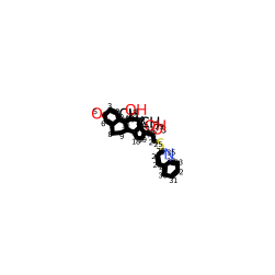 CC12C=CC(=O)C=C1CCC1C2[C@@H](O)CC2(C)C1CC[C@]2(O)C(=O)CSc1ccc2ccccc2n1